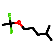 CC(C)CCCOC(C)(F)F